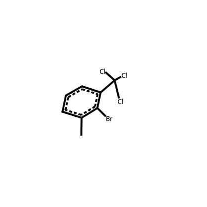 Cc1cccc(C(Cl)(Cl)Cl)c1Br